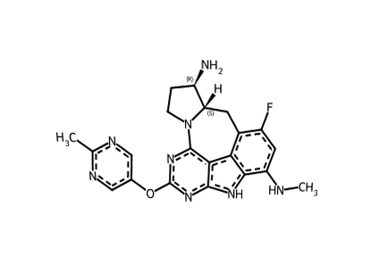 CNc1cc(F)c2c3c1[nH]c1nc(Oc4cnc(C)nc4)nc(c13)N1CC[C@@H](N)[C@@H]1C2